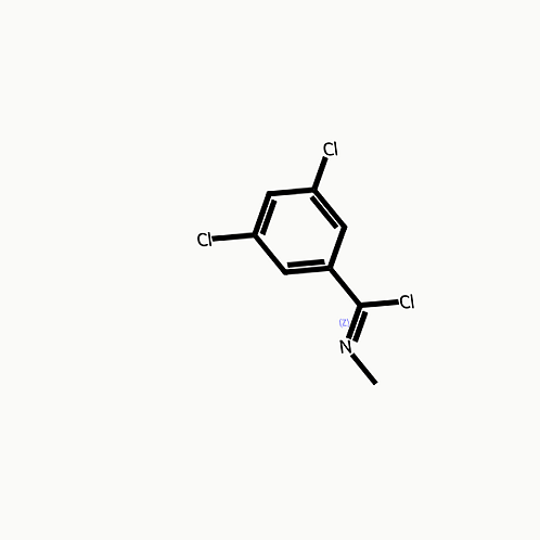 C/N=C(\Cl)c1cc(Cl)cc(Cl)c1